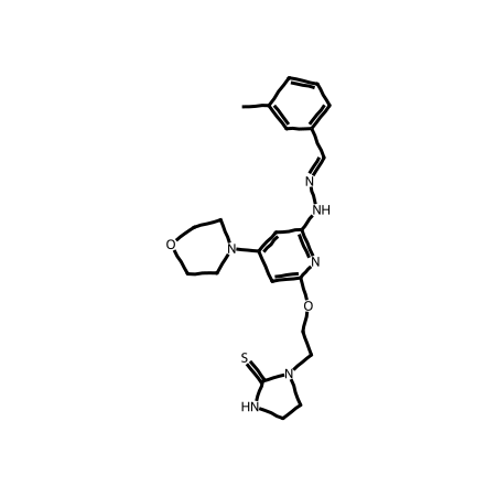 Cc1cccc(C=NNc2cc(N3CCOCC3)cc(OCCN3CCNC3=S)n2)c1